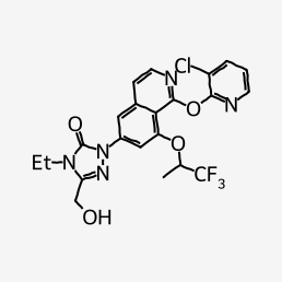 CCn1c(CO)nn(-c2cc(OC(C)C(F)(F)F)c3c(Oc4ncccc4Cl)nccc3c2)c1=O